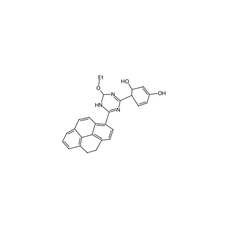 CCOC1N=C(C2C=CC(O)=CC2O)N=C(c2ccc3c4c2ccc2cccc(c24)CC3)N1